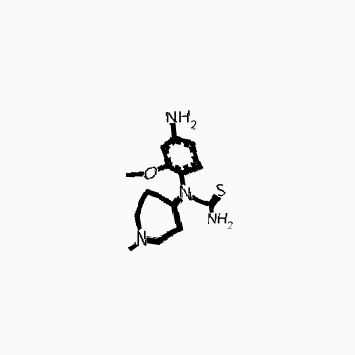 COc1cc(N)ccc1N(C(N)=S)C1CCN(C)CC1